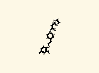 Cc1ccc(OCCC2CCN(OC(=O)Cc3nccs3)CC2)c(C)c1